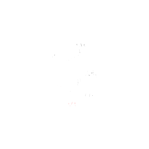 CCC(C)C/C(C)=C(/C)C(=O)O